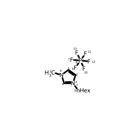 CCCCCC[n+]1ccn(C)c1.F[P-](F)(F)(F)(F)F